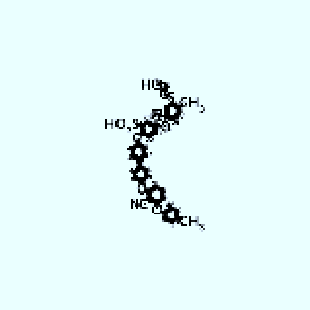 Cc1ccc(Oc2cccc(Oc3ccc(-c4ccc(Oc5ccc(S(=O)(=O)c6ccc(C)c(SOOO)c6)cc5S(=O)(=O)O)cc4)cc3)c2C#N)cc1